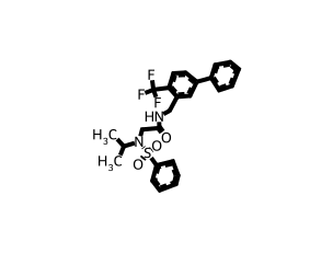 CC(C)N(CC(=O)NCc1cc(-c2ccccc2)ccc1C(F)(F)F)S(=O)(=O)c1ccccc1